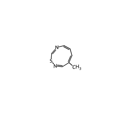 Cc1cccncsnc1